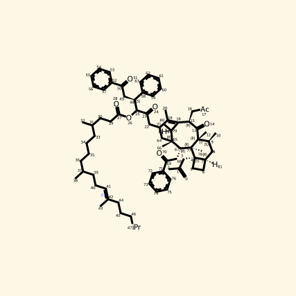 C=C(C)C[C@@]12CC[C@@H]1C[C@H](C)[C@@]1(C)C(=O)[C@H](CC(C)=O)C3=C(C)C(CC(=O)C(OC(=O)CCC(C)CCCCC(C)CC/C=C(\C)CCCC(C)C)[C@@H](CC(=O)c4ccccc4)c4ccccc4)C[C@@](C)([C@@H](CC(=O)c4ccccc4)[C@]21C)[C@H]3C